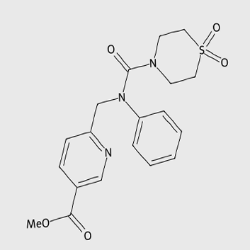 COC(=O)c1ccc(CN(C(=O)N2CCS(=O)(=O)CC2)c2ccccc2)nc1